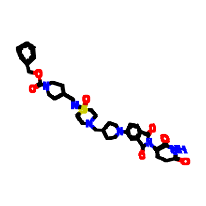 O=C1CCC(N2C(=O)c3ccc(N4CCC(CN5CCS(=O)(=NCC6CCN(C(=O)OCc7ccccc7)CC6)CC5)CC4)cc3C2=O)C(=O)N1